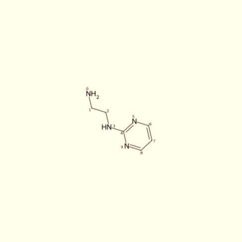 NCCNc1n[c]ccn1